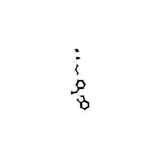 CC(C)(C)OC(=O)NCCCOc1cccc([C@@H](C(=O)O)N2Cc3ccccc3C2)c1